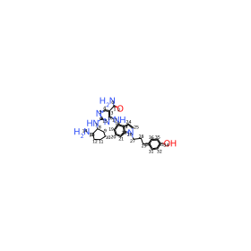 NC(=O)c1cnc(NC2CCCC[C@@H]2N)nc1Nc1cccc2c1ccn2CCCc1ccc(O)cc1